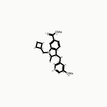 COC(=O)c1ccc2c(c1)N(CC1CCC1)C(C)C2Cc1cncc(OC)c1